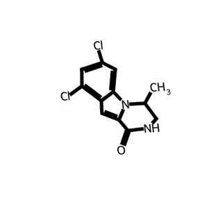 CC1CNC(=O)c2cc3c(Cl)cc(Cl)cc3n21